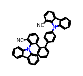 N#Cc1cccc(-c2ccccc2-c2ccc(-n3c4ccccc4c4cccc(C#N)c43)cc2)c1-n1c2ccccc2c2ccccc21